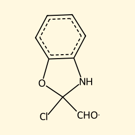 O=[C]C1(Cl)Nc2ccccc2O1